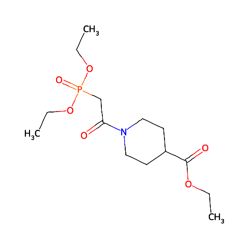 CCOC(=O)C1CCN(C(=O)CP(=O)(OCC)OCC)CC1